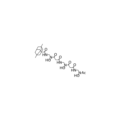 CC(=O)N(O)CNC(=O)CC(=O)N(O)CNC(=O)CC(=O)N(O)CNC(=O)C12CC3CC(C)(CC(C)(C3)C1)C2